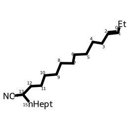 [CH2]CC=CCCCCCCCCCCC(C#N)CCCCCCC